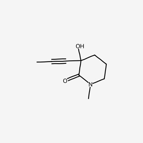 CC#CC1(O)CCCN(C)C1=O